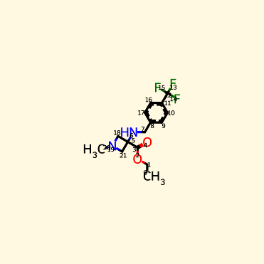 CCOC(=O)C1(NCc2ccc(C(F)(F)F)cc2)CN(C)C1